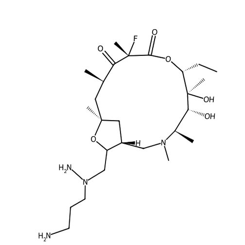 CC[C@H]1OC(=O)[C@@](C)(F)C(=O)[C@H](C)C[C@@]2(C)C[C@H](CN(C)[C@H](C)[C@@H](O)[C@]1(C)O)C(CN(N)CCCN)O2